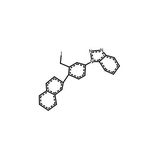 ICc1cc(-n2nnc3ccccc32)ccc1-c1ccc2ccccc2c1